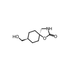 O=C1NC[C@]2(CC[C@H](CO)CC2)O1